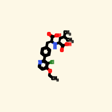 CCOc1ccnc(-c2ccc(C[C@H](N[C@@H](CC(C)C)C(=O)O)C(=O)O)cc2)c1Cl